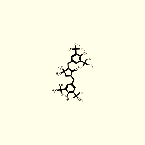 CC(C)(C)c1cc(CC2CC(C)(C)C(Cc3cc(C(C)(C)C)c(O)c(C(C)(C)C)c3)C2=O)cc(C(C)(C)C)c1O